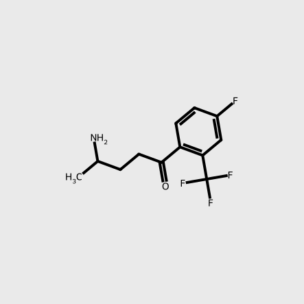 CC(N)CCC(=O)c1ccc(F)cc1C(F)(F)F